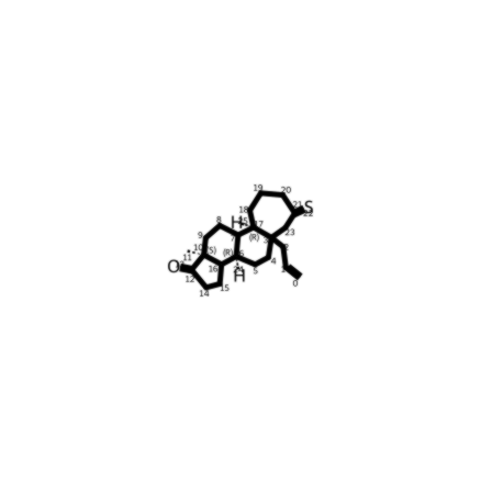 C=CCC12CC[C@@H]3C(CC[C@]4(C)C(=O)CCC34)[C@H]1CCCC(=S)C2